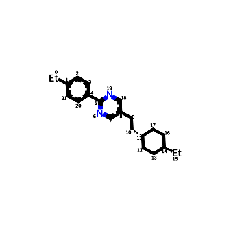 CCc1ccc(-c2ncc(CC[C@H]3CC[C@H](CC)CC3)cn2)cc1